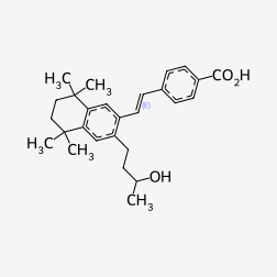 CC(O)CCc1cc2c(cc1/C=C/c1ccc(C(=O)O)cc1)C(C)(C)CCC2(C)C